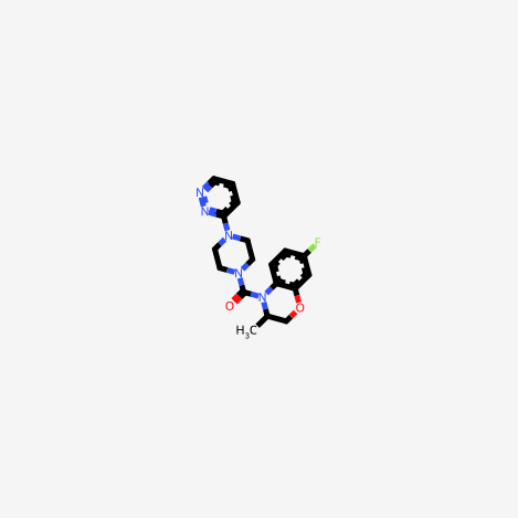 CC1COc2cc(F)ccc2N1C(=O)N1CCN(c2cccnn2)CC1